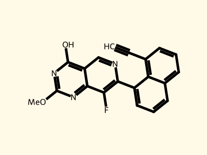 C#Cc1cccc2cccc(-c3ncc4c(O)nc(OC)nc4c3F)c12